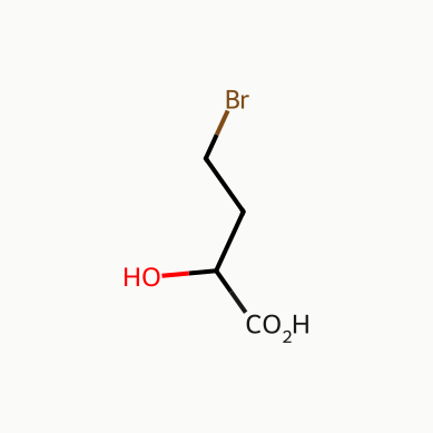 O=C(O)C(O)CCBr